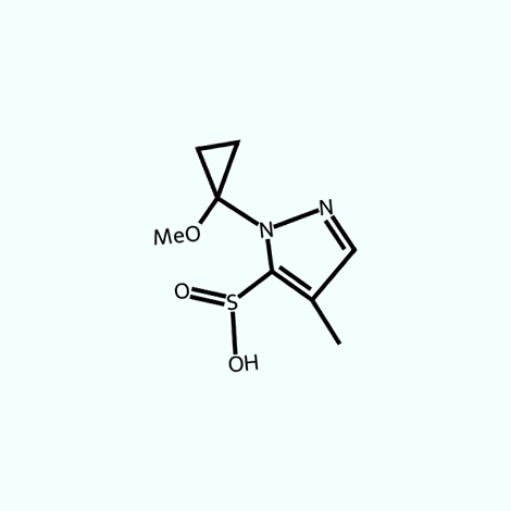 COC1(n2ncc(C)c2S(=O)O)CC1